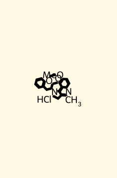 COc1ccc2nc(C)c3c(c2c1)N(C(Cc1ccccc1)C1COCCO1)CC3.Cl